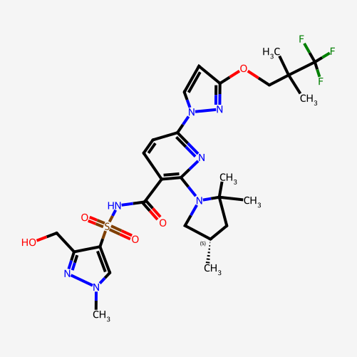 C[C@@H]1CN(c2nc(-n3ccc(OCC(C)(C)C(F)(F)F)n3)ccc2C(=O)NS(=O)(=O)c2cn(C)nc2CO)C(C)(C)C1